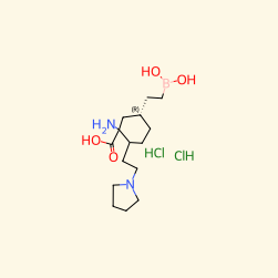 Cl.Cl.NC1(C(=O)O)C[C@H](CCB(O)O)CCC1CCN1CCCC1